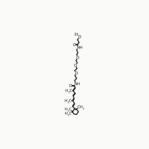 CCOCCC(=O)NCCCOCCOCCOCCCNC(=O)/C=C(C)/C=C/C=C(C)/C=C/C1=C(C)CCCC1(C)C